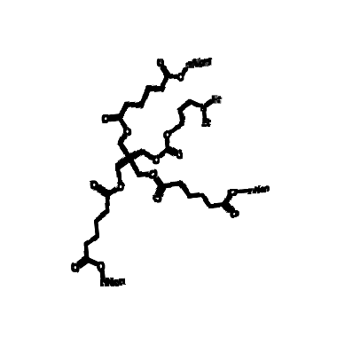 CCCCCCCCCOC(=O)CCCCC(=O)OCC(COC(=O)CCCCC(=O)OCCCCCCCCC)(COC(=O)CCCCC(=O)OCCCCCCCCC)COC(=O)OCCCN(CC)CC